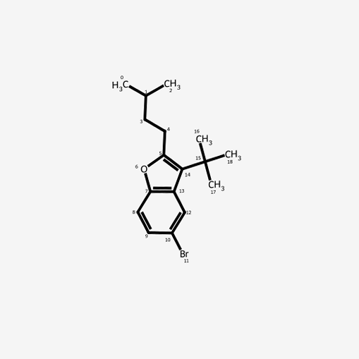 CC(C)CCc1oc2ccc(Br)cc2c1C(C)(C)C